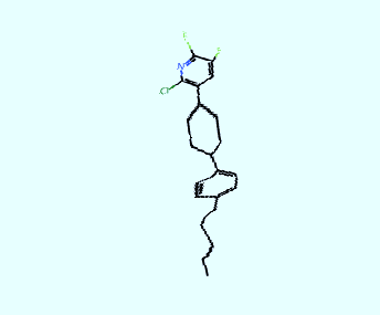 CCCCCc1ccc(C2CCC(c3cc(F)c(F)nc3Cl)CC2)cc1